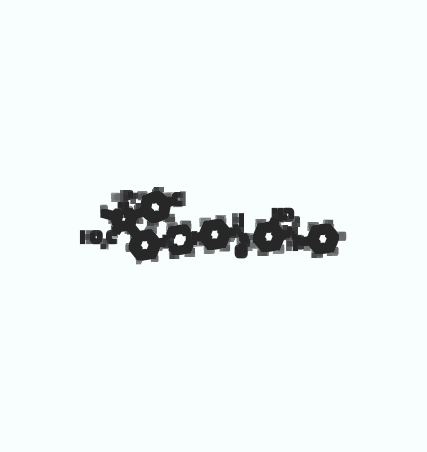 Cc1c(C(=O)O)c(-c2cccc(N3CCN(c4ccc(N[S+]([O-])c5ccc(NSc6ccccc6)c([N+](=O)[O-])c5)cc4)CC3)c2)c(-c2ccc(Cl)cc2)n1C(C)C